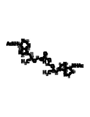 CC(=O)Nc1ncnc2c1ncn2C[C@@H](C)OCO[PH](=O)OCO[C@H](C)Cn1cnc2c(NC(C)=O)ncnc21